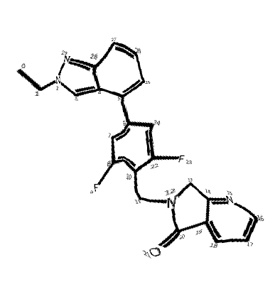 CCn1cc2c(-c3cc(F)c(CN4Cc5ncccc5C4=O)c(F)c3)cccc2n1